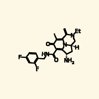 C=C1c2c(C)c(=O)c(C(=O)NCc3ccc(F)cc3F)c3n2[C@H](C[C@@H]3N)CN1CC